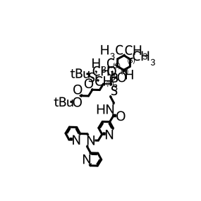 C[C@H]1C[C@H]2OB([C@H](CCC(CC(=O)OC(C)(C)C)O[Si](C)(C)C(C)(C)C)SCCNC(=O)c3ccc(CN(Cc4ccccn4)Cc4ccccn4)nc3)O[C@@]2(C)CC1(C)C